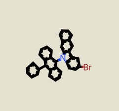 Brc1ccc2c(c1)c1cc3ccccc3cc1n2-c1c2ccccc2c(-c2ccccc2)c2ccccc12